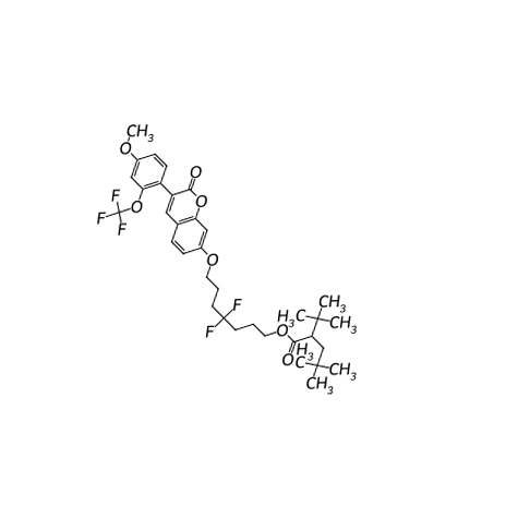 COc1ccc(-c2cc3ccc(OCCCC(F)(F)CCCOC(=O)C(CC(C)(C)C)C(C)(C)C)cc3oc2=O)c(OC(F)(F)F)c1